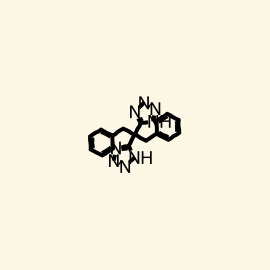 c1ccc(CC(Cc2ccccc2)(c2nnn[nH]2)c2nnn[nH]2)cc1